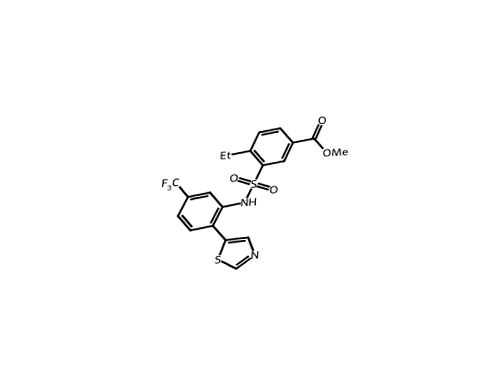 CCc1ccc(C(=O)OC)cc1S(=O)(=O)Nc1cc(C(F)(F)F)ccc1-c1cncs1